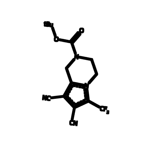 CC(C)(C)OC(=O)N1CCn2c(c(C#N)c(C#N)c2C(F)(F)F)C1